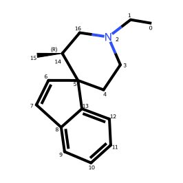 CCN1CCC2(C=Cc3ccccc32)[C@@H](C)C1